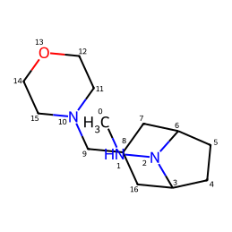 CNN1C2CCC1CC(CN1CCOCC1)C2